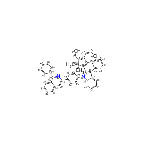 C=CC1=C(/C=C\C)c2c(c3c(c4ccccc24)c2ccccc2n3-c2ccc(-c3cc4ccccc4c(-c4ccccc4)n3)cc2)C1(C)C